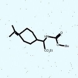 CCOC(=O)C(NC(=O)OC(C)(C)C)C1CCC(=C(C)C)CC1